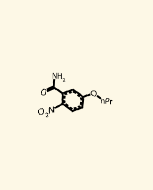 CCCOc1ccc([N+](=O)[O-])c(C(N)=O)c1